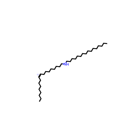 CCCCCCCC/C=C\CCCCCCCCNCCCCCCCCCCCCCCCC